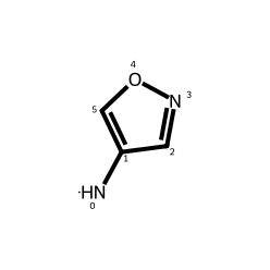 [NH]c1cnoc1